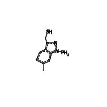 Cc1ccc2c(CS)nn(P)c2c1